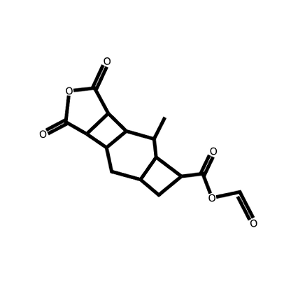 CC1C2C(CC2C(=O)OC=O)CC2C3C(=O)OC(=O)C3C12